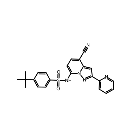 CC(C)(C)c1ccc(S(=O)(=O)Nc2ccc(C#N)c3cc(-c4ccccn4)nn23)cc1